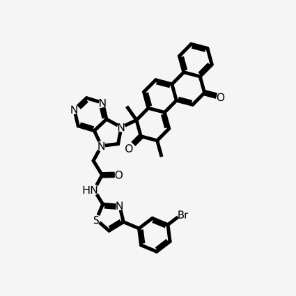 CC1C=c2c(ccc3c2=CC(=O)c2ccccc2-3)C(C)(N2CN(CC(=O)Nc3nc(-c4cccc(Br)c4)cs3)c3cncnc32)C1=O